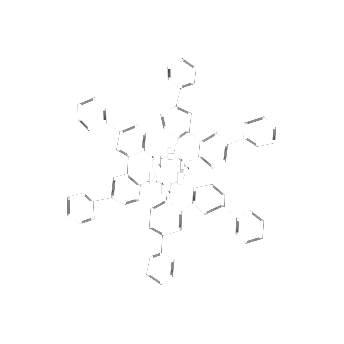 c1ccc(-c2ccc3c(c2)-c2cc(-c4ccccc4)ccc2N2B3N3B(c4ccc(-c5ccccc5)cc4-c4cc(-c5ccccc5)ccc43)N3B2c2ccc(-c4ccccc4)cc2-c2cc(-c4ccccc4)ccc23)cc1